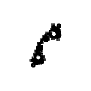 C=C1C(=O)O[C@H]2[C@H]1CC/C(Cn1cc(CCCc3cn(C/C4=C/CC[C@@]5(C)O[C@H]5[C@H]5OC(=O)C(=C)[C@@H]5CC4)nn3)nn1)=C\CC[C@@]1(C)O[C@@H]21